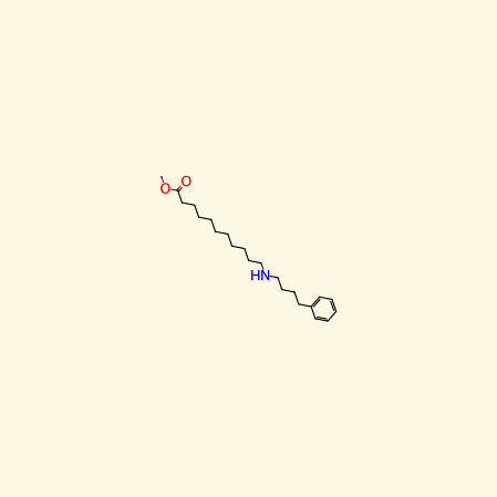 COC(=O)CCCCCCCCCCNCCCCc1ccccc1